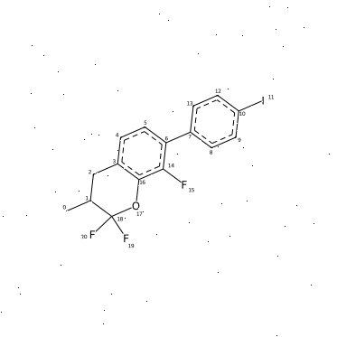 CC1Cc2ccc(-c3ccc(I)cc3)c(F)c2OC1(F)F